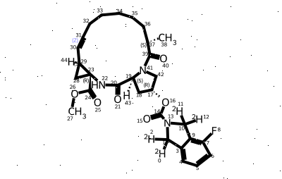 [2H]C1([2H])c2cccc(F)c2C([2H])([2H])N1C(=O)O[C@@H]1C[C@H]2C(=O)N[C@]3(C(=O)OC)C[C@H]3/C=C\CCCCC[C@H](C)C(=O)N2C1